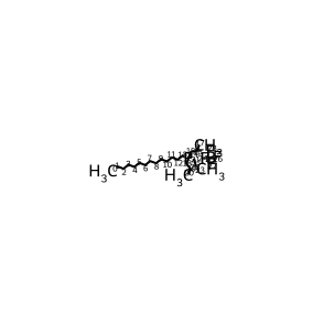 CCCCCCCCCCCCCC[P+](CCC)(CCC)CCC.F[B-](F)(F)F